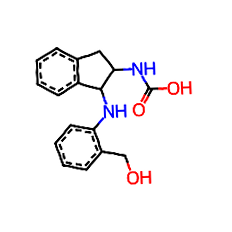 O=C(O)NC1Cc2ccccc2C1Nc1ccccc1CO